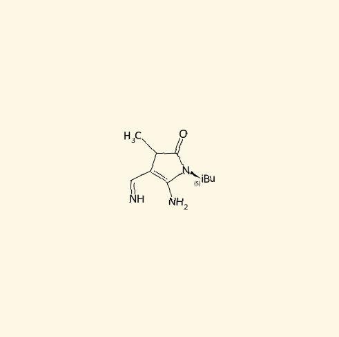 CC[C@H](C)N1C(=O)C(C)C(C=N)=C1N